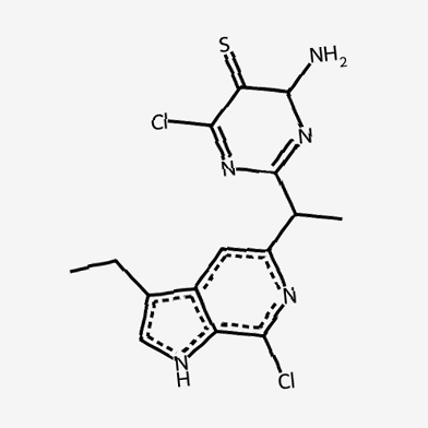 CCc1c[nH]c2c(Cl)nc(C(C)C3=NC(N)C(=S)C(Cl)=N3)cc12